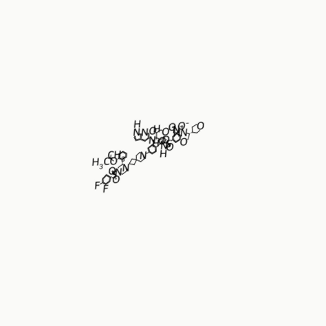 CC(C)Oc1ccccc1[C@@H]1CN(S(=O)(=O)c2ccc(F)c(F)c2)CCN1C1CC2(CCN(c3ccc(C(=O)NS(=O)(=O)c4cc5c(c([N+](=O)[O-])c4)N[C@H](C4CCOCC4)CO5)c(N4c5cc6cc[nH]c6nc5O[C@H]5COCC[C@@H]54)c3)CC2)C1